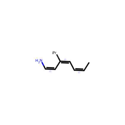 C\C=C/C=C(\C=C/N)C(C)C